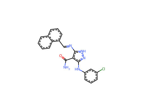 NC(=O)c1c(Nc2cccc(Cl)c2)n[nH]c1/N=C/c1cccc2ccccc12